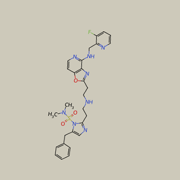 CN(C)S(=O)(=O)n1c(Cc2ccccc2)cnc1CCNCCc1nc2c(NCc3ncccc3F)nccc2o1